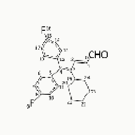 O=CC=CC(=C(c1ccc(F)cc1)c1ccc(F)cc1)C1CCCCC1